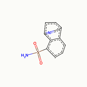 NS(=O)(=O)c1[c]ccc2c3ccc(nc3)c12